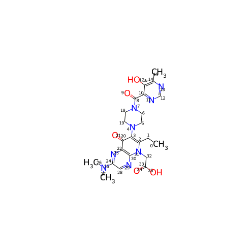 CCc1c(N2CCN(C(=O)c3ncnc(C)c3O)CC2)c(=O)c2nc(N(C)C)cnc2n1CC(=O)O